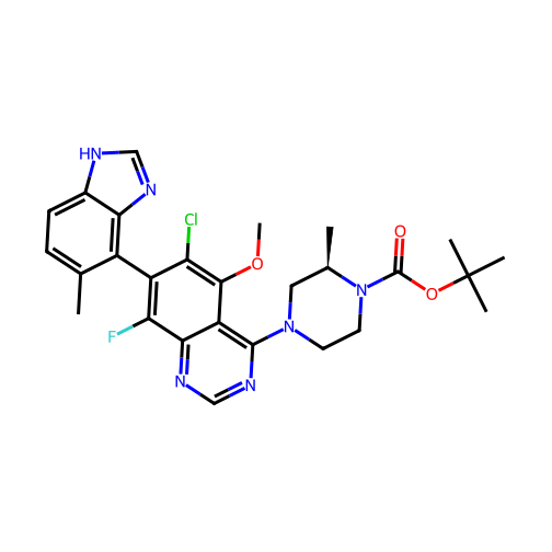 COc1c(Cl)c(-c2c(C)ccc3[nH]cnc23)c(F)c2ncnc(N3CCN(C(=O)OC(C)(C)C)[C@H](C)C3)c12